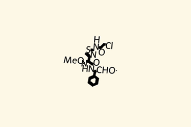 CON=C(C(=O)NC([C]=O)c1ccccc1)c1csc(NC(=O)CCl)n1